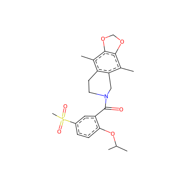 Cc1c2c(c(C)c3c1OCO3)CN(C(=O)c1cc(S(C)(=O)=O)ccc1OC(C)C)CC2